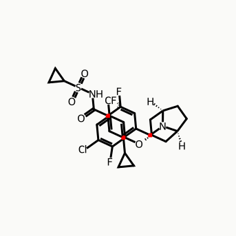 O=C(NS(=O)(=O)C1CC1)c1cc(C2CC2)c(CN2[C@@H]3CC[C@H]2C[C@H](Oc2cc(C(F)(F)F)cc(Cl)c2F)C3)cc1F